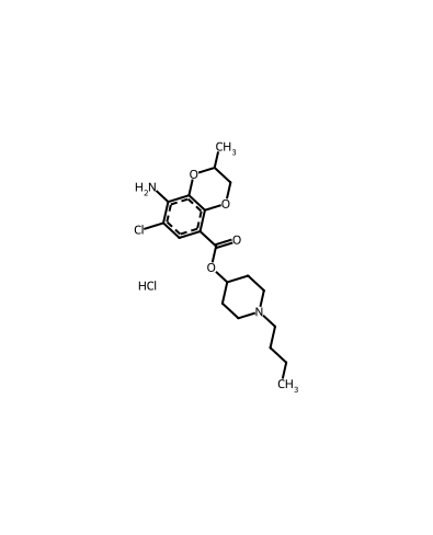 CCCCN1CCC(OC(=O)c2cc(Cl)c(N)c3c2OCC(C)O3)CC1.Cl